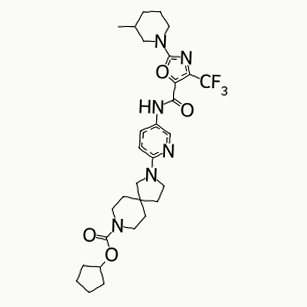 CC1CCCN(c2nc(C(F)(F)F)c(C(=O)Nc3ccc(N4CCC5(CCN(C(=O)OC6CCCC6)CC5)C4)nc3)o2)C1